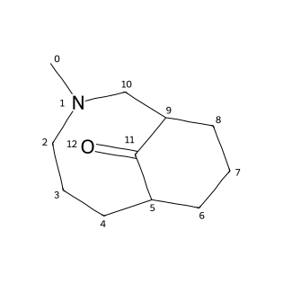 CN1CCCC2CCCC(C1)C2=O